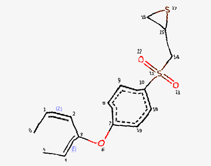 C/C=C\C(=C/C)Oc1ccc(S(=O)(=O)CC2CS2)cc1